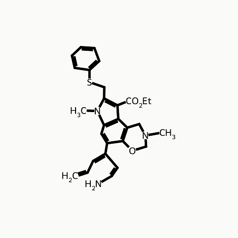 C=C/C=C(\C=C/N)c1cc2c(c3c1OCN(C)C3)c(C(=O)OCC)c(CSc1ccccc1)n2C